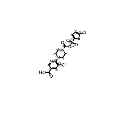 O=C(O)c1cnc(N2CCN(C(=O)NS(=O)(=O)c3ccc(Cl)s3)CC2)c(Cl)c1